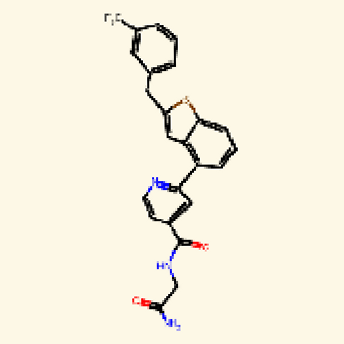 NC(=O)CNC(=O)c1ccnc(-c2cccc3sc(Cc4cccc(C(F)(F)F)c4)cc23)c1